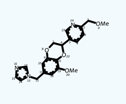 COCc1ccc(C2COc3cc(Cn4ccnc4)cc(OC)c3O2)cn1